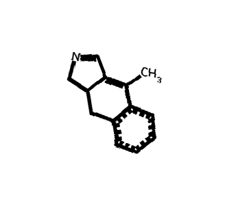 CC1=C2C=NCC2Cc2ccccc21